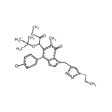 CCCn1cc(Cn2ccc3c(-c4ccc(Cl)cc4)c(C(OC(C)(C)C)C(=O)OC)n(C)c(=O)c32)nn1